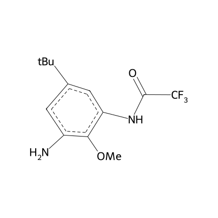 COc1c(N)cc(C(C)(C)C)cc1NC(=O)C(F)(F)F